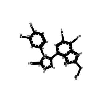 O=c1onc(-c2cc(F)c(F)c3nc(CBr)[nH]c23)n1-c1ccc(F)c(Cl)c1